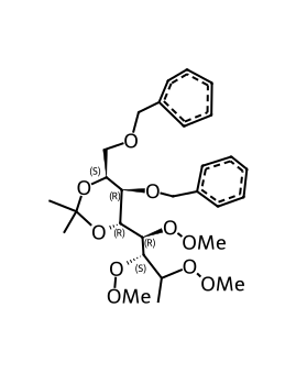 COOC(C)[C@H](OOC)[C@H](OOC)[C@@H]1OC(C)(C)O[C@@H](COCc2ccccc2)[C@H]1OCc1ccccc1